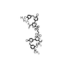 COc1ccc(Cn2cc(-c3cc(C(F)F)nc(S(=O)(=O)CCCS(=O)(=O)c4nc(-c5ccc(=O)n(Cc6ccc(C)c(C)c6)c5)cc(C(F)F)n4)n3)ccc2=O)cc1OC